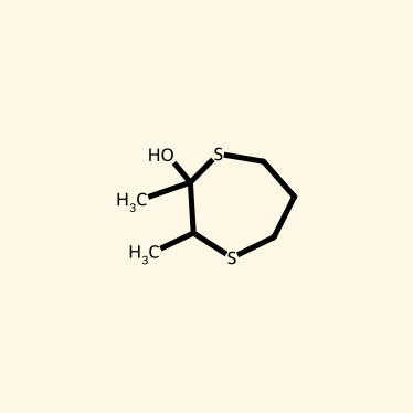 CC1SCCCSC1(C)O